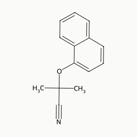 CC(C)(C#N)Oc1cccc2ccccc12